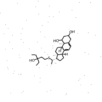 CCC(O)(CC)CCSC(C)[C@H]1CC[C@H]2C3=CC=C4CC(O)CC(O)[C@]4(C)[C@H]3CC[C@]12C